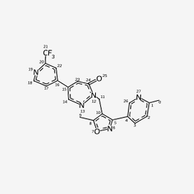 Cc1ccc(-c2noc(C)c2Cn2ncc(-c3ccnc(C(F)(F)F)c3)cc2=O)cn1